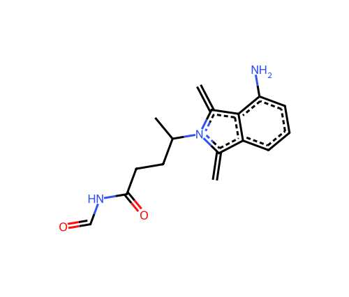 C=c1c2cccc(N)c2c(=C)n1C(C)CCC(=O)NC=O